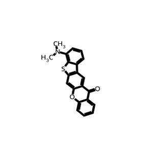 CN(C)c1cccc2c1sc1cc3oc4ccccc4c(=O)c3cc12